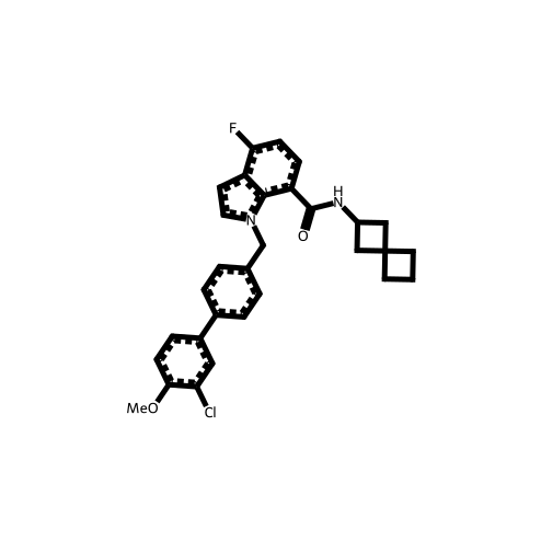 COc1ccc(-c2ccc(Cn3ccc4c(F)ccc(C(=O)NC5CC6(CCC6)C5)c43)cc2)cc1Cl